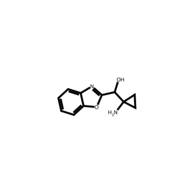 NC1(C(O)c2nc3ccccc3o2)CC1